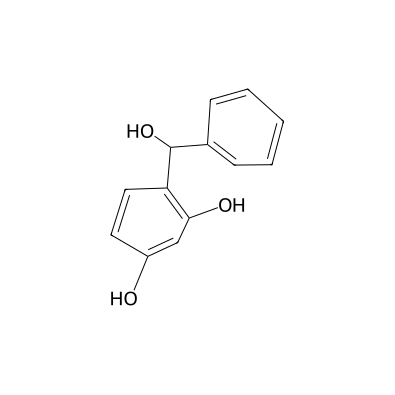 Oc1ccc(C(O)c2ccccc2)c(O)c1